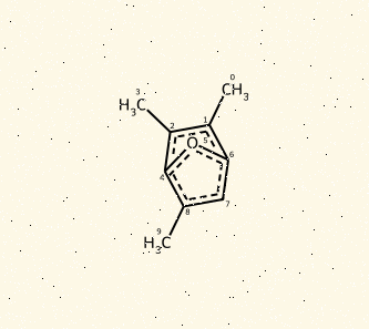 Cc1c(C)c2oc1cc2C